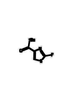 CC(C)(C)C(=O)c1csc(F)n1